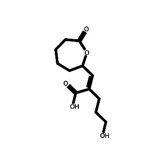 O=C1CCCCC(C=C(CCCO)C(=O)O)O1